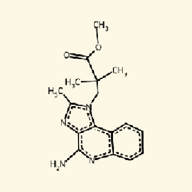 COC(=O)C(C)(C)Cn1c(C)nc2c(N)nc3ccccc3c21